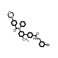 Cc1ccc(N(C(=O)c2ccc(N3CCOCC3)cc2)c2ccccc2)cc1-c1ccc(C(=O)NCc2cccc(Br)c2)cc1